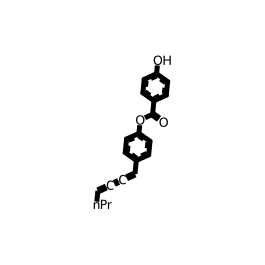 CCCC=C=C=Cc1ccc(OC(=O)c2ccc(O)cc2)cc1